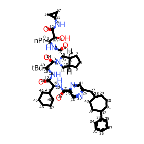 CCC[C@H](NC(=O)[C@@H]1[C@H]2CCC[C@H]2CN1C(=O)[C@@H](NC(=O)[C@@H](NC(=O)c1cnc(CC2CCCC(c3ccccc3)CC2)cn1)C1CCCCC1)C(C)(C)C)C(O)C(=O)NC1CC1